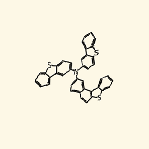 c1ccc2c(c1)sc1ccc(N(c3ccc4sc5ccccc5c4c3)c3ccc4ccc5sc6ccccc6c5c4c3)cc12